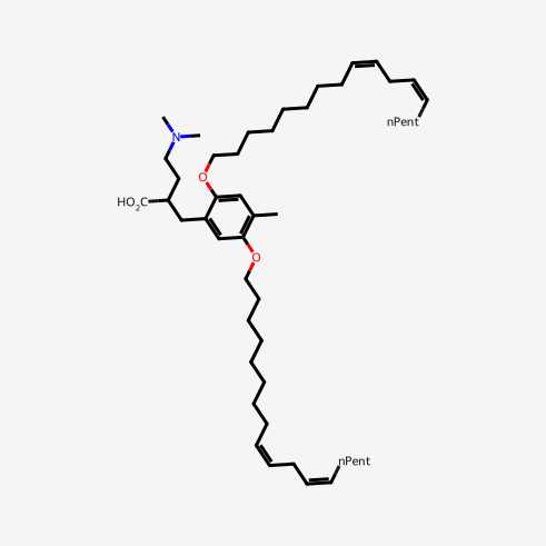 CCCCC/C=C\C/C=C\CCCCCCCCOc1cc(CC(CCN(C)C)C(=O)O)c(OCCCCCCCC/C=C\C/C=C\CCCCC)cc1C